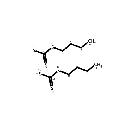 CCCCSC(=S)S.CCCCSC(=S)S